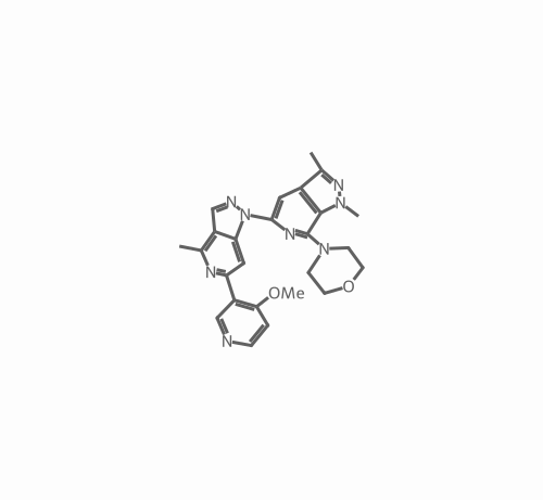 COc1ccncc1-c1cc2c(cnn2-c2cc3c(C)nn(C)c3c(N3CCOCC3)n2)c(C)n1